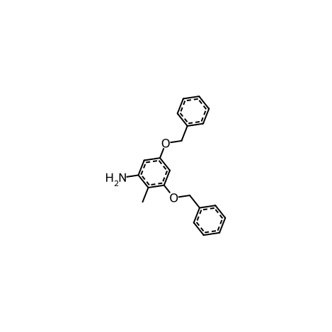 Cc1c(N)cc(OCc2ccccc2)cc1OCc1ccccc1